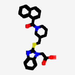 O=C(O)Cn1c(SCC2CCCN(C(=O)c3cccc4ccccc34)C2)nc2ccccc21